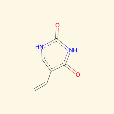 C=Cc1c[nH]c(=O)[nH]c1=O